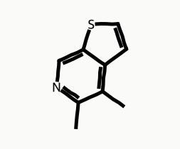 Cc1ncc2sccc2c1C